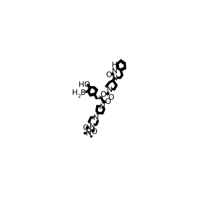 Bc1cc(C[C@@H](OC(=O)N2CCC(N3CCc4ccccc4NC3=O)CC2)C(=O)N2CCC(N3CCN(S(=O)(=O)N(C)C)CC3)CC2)ccc1O